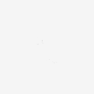 CNC(=O)OCCn1cc(I)cn1